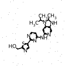 CC(C)N1c2cc(Nc3ccnc(-c4cnc(CO)s4)n3)ncc2NC1C